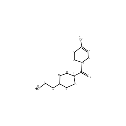 O=C(C1CC=C(Br)CC1)N1CCC(CCO)CC1